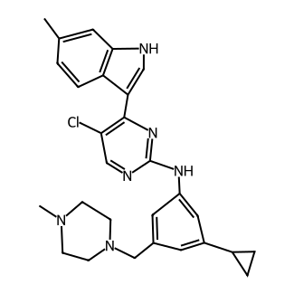 Cc1ccc2c(-c3nc(Nc4cc(CN5CCN(C)CC5)cc(C5CC5)c4)ncc3Cl)c[nH]c2c1